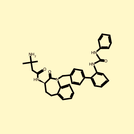 CC(C)(N)CC(=O)N[C@@H]1CCc2ccccc2N(Cc2ccc(-c3ccccc3NC(=O)Nc3ccccc3)cc2)C1=O